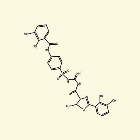 CC1OC(c2cccc(O)c2O)=NC1C(=O)NC(=N)NS(=O)(=O)c1ccc(NC(=O)c2cccc(O)c2O)cc1